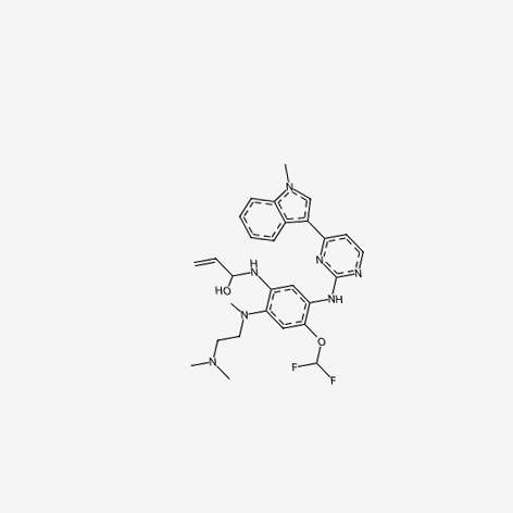 C=CC(O)Nc1cc(Nc2nccc(-c3cn(C)c4ccccc34)n2)c(OC(F)F)cc1N(C)CCN(C)C